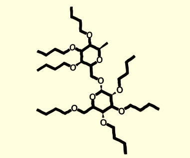 CCCCOCC1O[C@H](OCC2O[C@H](C)C(OCCCC)C(OCCCC)[C@@H]2OCCCC)[C@H](OCCCC)C(OCCCC)[C@@H]1OCCCC